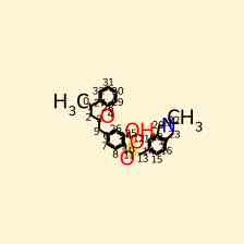 CC(CC(=O)Cc1ccc(S(=O)(=O)Cc2ccc3c(c2)CN(C)C3)c(O)c1)c1ccccc1